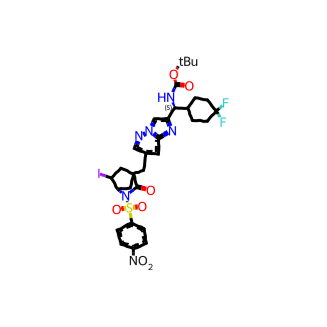 CC(C)(C)OC(=O)N[C@H](c1cn2ncc(CC34CC(I)C(C3)N(S(=O)(=O)c3ccc([N+](=O)[O-])cc3)C4=O)cc2n1)C1CCC(F)(F)CC1